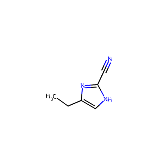 CCc1c[nH]c(C#N)n1